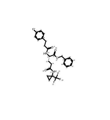 O=C(CCc1ccc(F)cc1)N[C@@H](CCC(=O)NC1(C(F)(F)F)CC1)C(=O)OCc1ccccc1